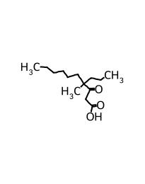 CCCCCCC(C)(CCC)C(=O)CC(=O)O